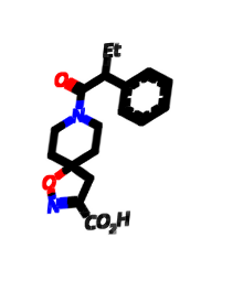 CCC(C(=O)N1CCC2(CC1)CC(C(=O)O)=NO2)c1ccccc1